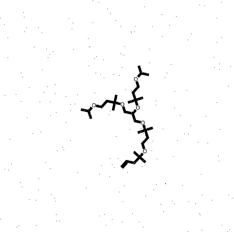 C=CCC(C)(C)OCCC(C)(C)OCC(COC(C)(C)CCOC(C)C)OC(C)(C)CCOC(C)C